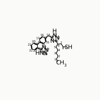 CCCCCCC(CCS)c1n[nH]c(Cc2ccc(-c3ccccc3-c3nnn[nH]3)cc2)n1